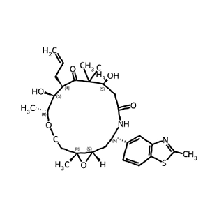 C=CC[C@H]1C(=O)C(C)(C)[C@@H](O)CC(=O)N[C@H](c2ccc3sc(C)nc3c2)C[C@@H]2O[C@]2(C)CCO[C@H](C)[C@H]1O